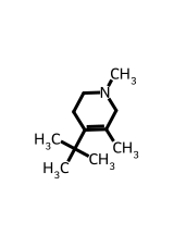 CC1=C(C(C)(C)C)CCN(C)C1